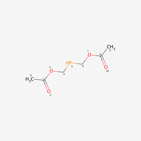 CC(=O)OCPCOC(C)=O